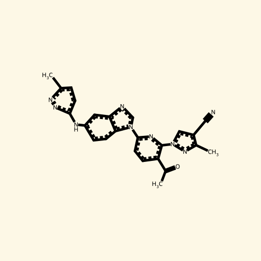 CC(=O)c1ccc(-n2cnc3cc(Nc4ccc(C)nn4)ccc32)nc1-n1cc(C#N)c(C)n1